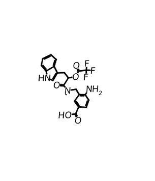 CN(Cc1cc(C(=O)O)ccc1N)C(=O)C(Cc1c[nH]c2ccccc12)OC(=O)C(F)(F)F